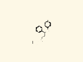 CNCCC(Oc1ccc(I)cc1)c1ccccc1